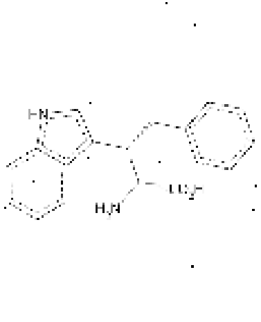 N[C@@H](C(=O)O)[C@@H](Cc1ccccc1)c1c[nH]c2ccccc12